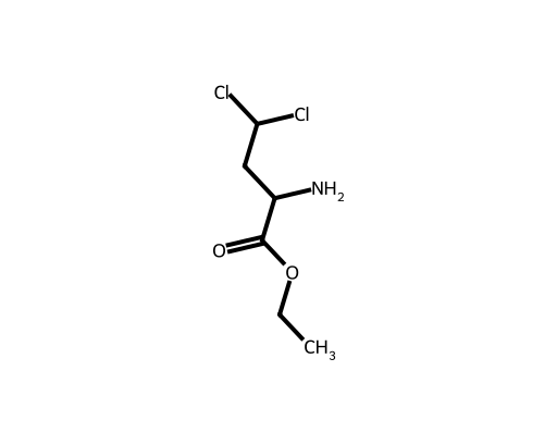 CCOC(=O)C(N)CC(Cl)Cl